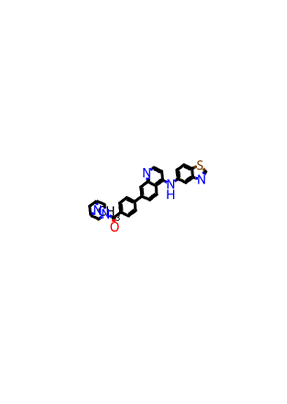 CN1C2CC1CN(C(=O)c1ccc(-c3ccc4c(Nc5ccc6scnc6c5)ccnc4c3)cc1)C2